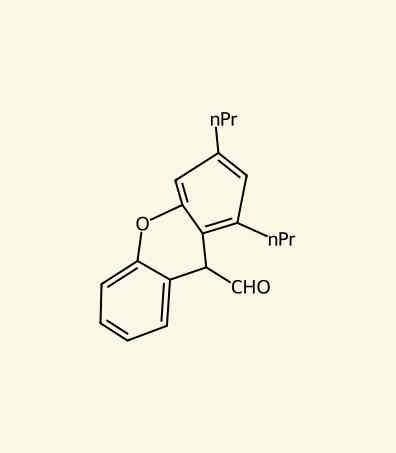 CCCc1cc(CCC)c2c(c1)Oc1ccccc1C2C=O